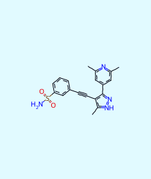 Cc1cc(-c2n[nH]c(C)c2C#Cc2cccc(S(N)(=O)=O)c2)cc(C)n1